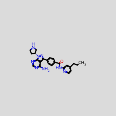 CCCc1ccnc(NC(=O)c2ccc(-c3nn([C@@H]4CCNC4)c4ncnc(N)c34)cc2)c1